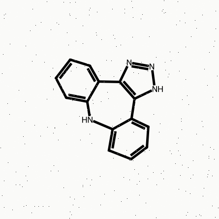 c1ccc2c(c1)Nc1ccccc1-c1[nH]nnc1-2